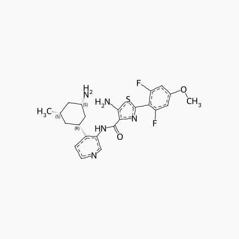 COc1cc(F)c(-c2nc(C(=O)Nc3cnccc3[C@@H]3C[C@H](C)C[C@H](N)C3)c(N)s2)c(F)c1